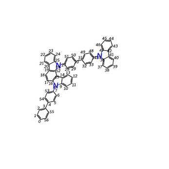 c1ccc(-c2ccc(-n3c4ccccc4c4c3ccc3c5ccccc5n(-c5ccc(-c6ccc(-n7c8ccccc8c8ccccc87)cc6)cc5)c34)cc2)cc1